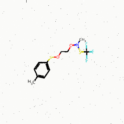 Cc1ccc(SOCCON(C)SC(F)(F)F)cc1